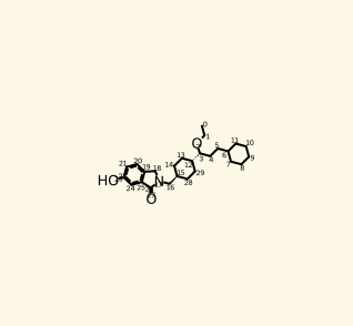 CCOC(CCC1CCCCC1)[C@H]1CC[C@H](CN2Cc3ccc(O)cc3C2=O)CC1